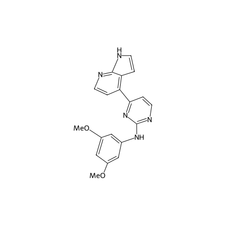 COc1cc(Nc2nccc(-c3ccnc4[nH]ccc34)n2)cc(OC)c1